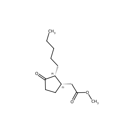 CCCCC[C@H]1C(=O)CC[C@H]1CC(=O)OC